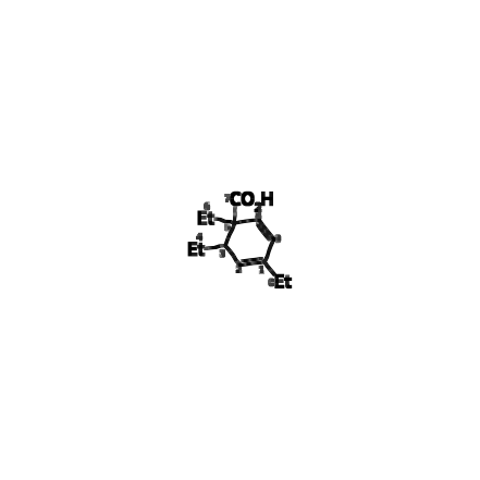 CCC1=CC(CC)C(CC)(C(=O)O)C=C1